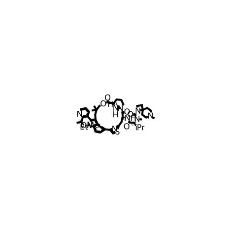 CCn1c(-c2cccnc2[C@H](C)OC)c2c3cc(ccc31)-c1csc(n1)C[C@H](NC(=O)[C@H](C(C)C)N(C)C(=O)N1CCC13CCN(C)CC3)C(=O)N1CCC[C@H](N1)C(=O)OCC(C)(C)C2